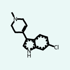 CN1CC=C(c2c[nH]c3cc(Cl)ccc23)CC1